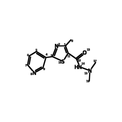 Cc1nc(-c2cccnc2)sc1C(=O)NN(C)C